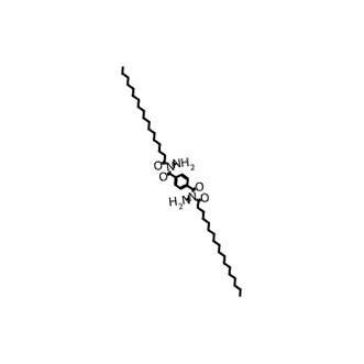 CCCCCCCCCCCCCCCCCC(=O)N(N)C(=O)c1ccc(C(=O)N(N)C(=O)CCCCCCCCCCCCCCCCC)cc1